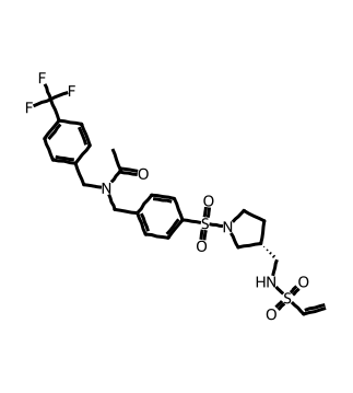 C=CS(=O)(=O)NC[C@H]1CCN(S(=O)(=O)c2ccc(CN(Cc3ccc(C(F)(F)F)cc3)C(C)=O)cc2)C1